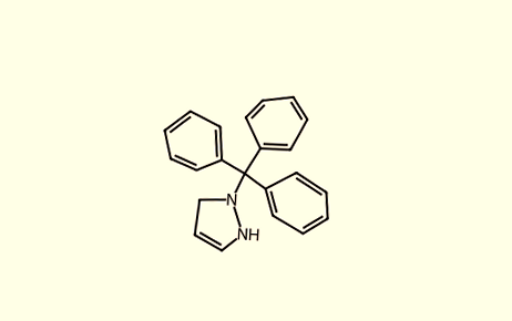 C1=CNN(C(c2ccccc2)(c2ccccc2)c2ccccc2)C1